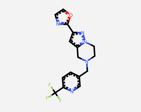 FC(F)(F)c1ccc(CN2CCn3nc(-c4ncco4)cc3C2)cn1